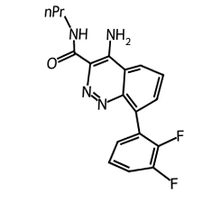 CCCNC(=O)c1nnc2c(-c3cccc(F)c3F)cccc2c1N